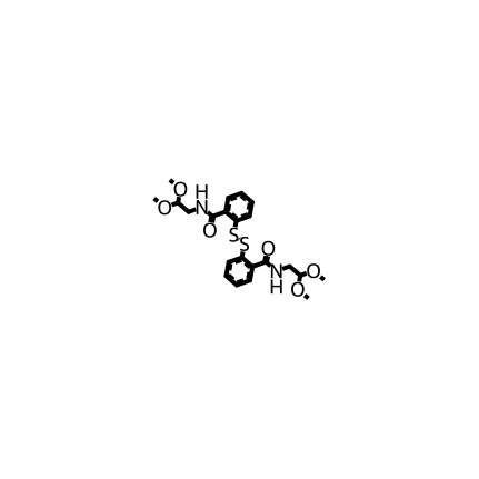 COC(CNC(=O)c1ccccc1SSc1ccccc1C(=O)NCC(OC)OC)OC